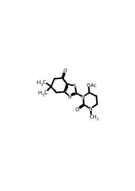 CC(=O)OC1CCN(C)C(=O)N1c1nc2c(s1)C(=O)CC(C)(C)C2